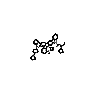 C/C=C(\C=C(/C)n1c2ccccc2c2cc3c(cc21)C1(c2ccccc2Sc2ccccc21)c1cc2c(cc1-3)c1ccccc1n2-c1ccc(-c2ccccc2)cc1)c1ccccc1